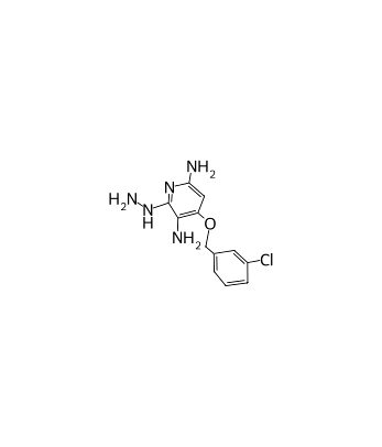 NNc1nc(N)cc(OCc2cccc(Cl)c2)c1N